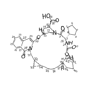 O=C1N[C@@H](C2CCCC2)C(=O)N2C[C@@H](C[C@H]2C(=O)O)Oc2cc3ccccc3c(=O)n2CC2CC2CCC[C@@H]2CCC[C@H]2O1